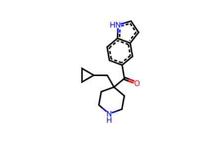 O=C(c1ccc2[nH]ccc2c1)C1(CC2CC2)CCNCC1